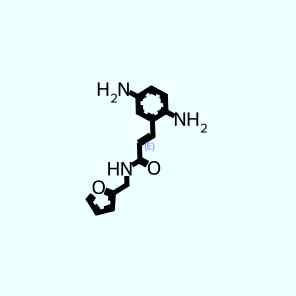 Nc1ccc(N)c(/C=C/C(=O)NCc2ccco2)c1